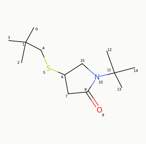 CC(C)(C)CSC1CC(=O)N(C(C)(C)C)C1